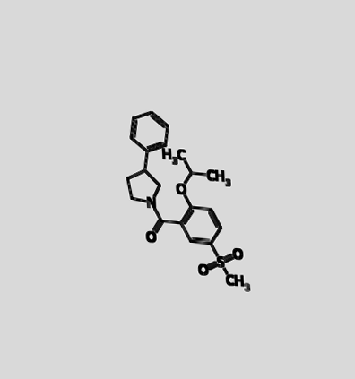 CC(C)Oc1ccc(S(C)(=O)=O)cc1C(=O)N1CCC(c2ccccc2)C1